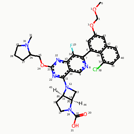 COCOc1cc(-c2ncc3c(N4C[C@@H]5[C@H]4CCN5C(=O)O)nc(OCC4CCCN4C)nc3c2F)c2c(Cl)cccc2c1